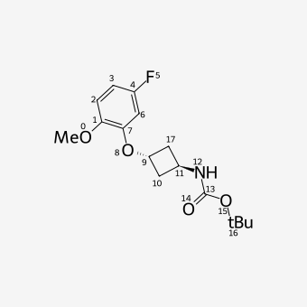 COc1ccc(F)cc1O[C@H]1C[C@H](NC(=O)OC(C)(C)C)C1